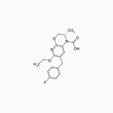 CCOc1nc2c(cc1Cc1ccc(F)cc1)N(C(=O)O)[C@@H](C)CO2